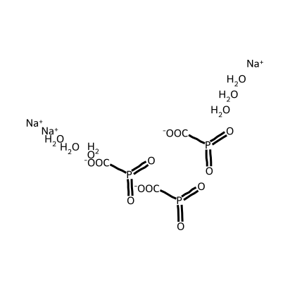 O.O.O.O.O.O.O=C([O-])P(=O)=O.O=C([O-])P(=O)=O.O=C([O-])P(=O)=O.[Na+].[Na+].[Na+]